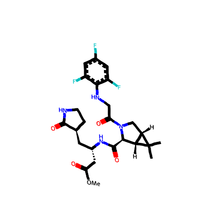 COC(=O)C[C@H](C[C@@H]1CCNC1=O)NC(=O)[C@@H]1[C@@H]2[C@H](CN1C(=O)CNc1c(F)cc(F)cc1F)C2(C)C